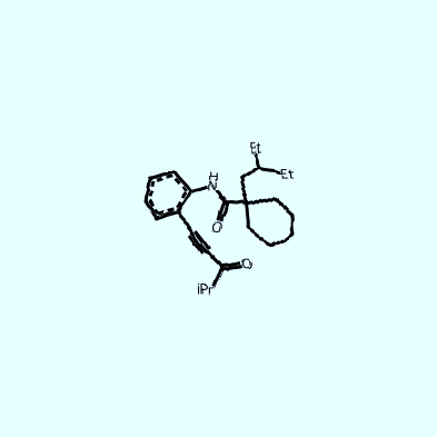 CCC(CC)CC1(C(=O)Nc2ccccc2C#CC(=O)C(C)C)CCCCC1